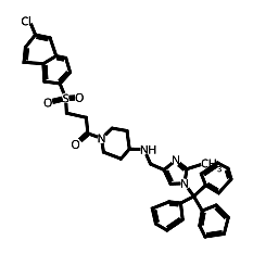 Cc1nc(CNC2CCN(C(=O)CCS(=O)(=O)c3ccc4cc(Cl)ccc4c3)CC2)cn1C(c1ccccc1)(c1ccccc1)c1ccccc1